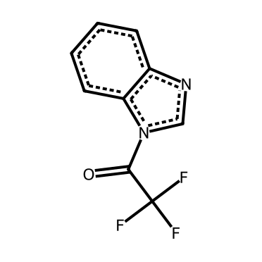 O=C(n1cnc2ccccc21)C(F)(F)F